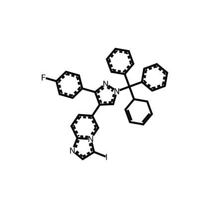 Fc1ccc(-c2nn(C(c3ccccc3)(c3ccccc3)C3C=CC=CC3)cc2-c2ccc3ncc(I)n3c2)cc1